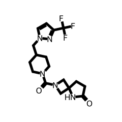 O=C1CCC2(CN(C(=O)N3CCC(Cn4ccc(C(F)(F)F)n4)CC3)C2)N1